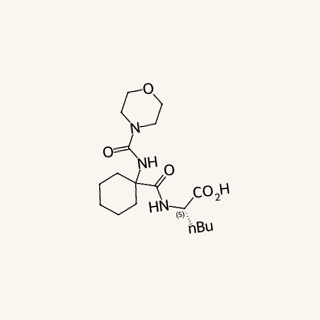 CCCC[C@H](NC(=O)C1(NC(=O)N2CCOCC2)CCCCC1)C(=O)O